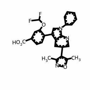 Cc1noc(C)c1-c1cnc2c(c1)c(-c1ccc(C(=O)O)cc1OC(F)F)cn2-c1ccccc1